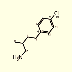 CC(CN)CCc1ccc(Cl)cc1